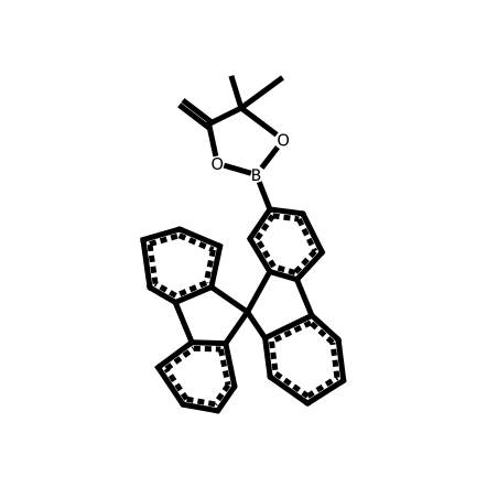 C=C1OB(c2ccc3c(c2)C2(c4ccccc4-c4ccccc42)c2ccccc2-3)OC1(C)C